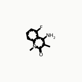 Cc1c(N)c2c(F)cccc2n(C)c1=O